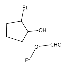 CCC1CCCC1O.CCOC=O